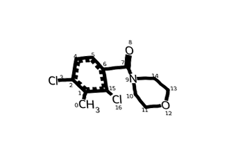 Cc1c(Cl)ccc(C(=O)N2CCOCC2)c1Cl